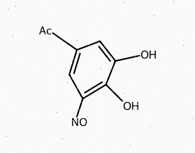 CC(=O)c1cc(O)c(O)c(N=O)c1